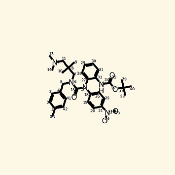 [CH]c1ccc(CN(CC(C)(C)CN(C)C)C(=O)N(c2ccc([N+](=O)[O-])cc2)c2ccccc2NC(=O)OC(C)(C)C)cc1